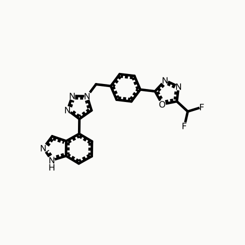 FC(F)c1nnc(-c2ccc(Cn3cc(-c4cccc5[nH]ncc45)nn3)cc2)o1